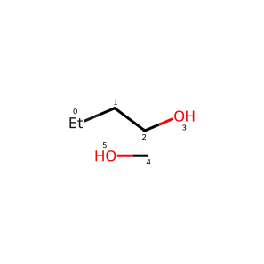 CCCCO.CO